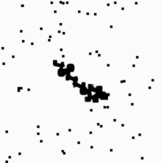 CCOC(=O)CCCCOc1ccc(Br)cc1